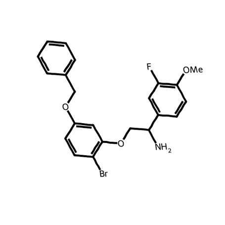 COc1ccc(C(N)COc2cc(OCc3ccccc3)ccc2Br)cc1F